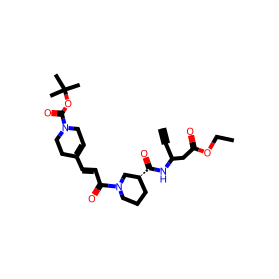 C#CC(CC(=O)OCC)NC(=O)[C@@H]1CCCN(C(=O)/C=C/C2=CCN(C(=O)OC(C)(C)C)CC2)C1